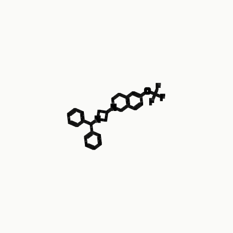 FC(F)(F)Oc1ccc2c(c1)CCN(C1CN(C(c3ccccc3)c3ccccc3)C1)C2